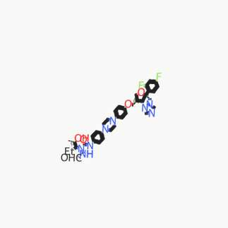 CCC([C@H](C)O)N(NC=O)C(=O)Nc1ccc(N2CCN(c3ccc(OC[C@@H]4CO[C@@](Cn5cncn5)(c5ccc(F)cc5F)C4)cc3)CC2)cc1